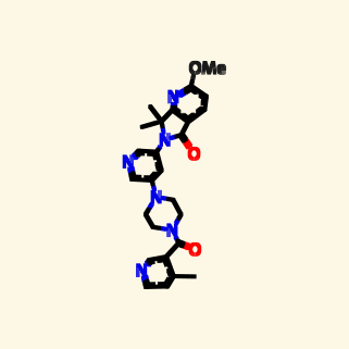 COc1ccc2c(n1)C(C)(C)N(c1cncc(N3CCN(C(=O)c4cnccc4C)CC3)c1)C2=O